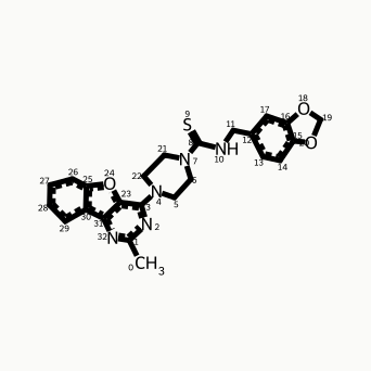 Cc1nc(N2CCN(C(=S)NCc3ccc4c(c3)OCO4)CC2)c2oc3ccccc3c2n1